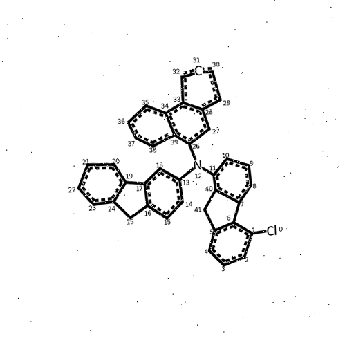 Clc1cccc2c1-c1cccc(N(c3ccc4c(c3)-c3ccccc3C4)c3cc4ccccc4c4ccccc34)c1C2